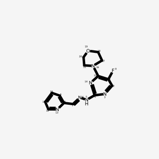 Fc1cnc(N/N=C/c2ccccn2)nc1N1CCOCC1